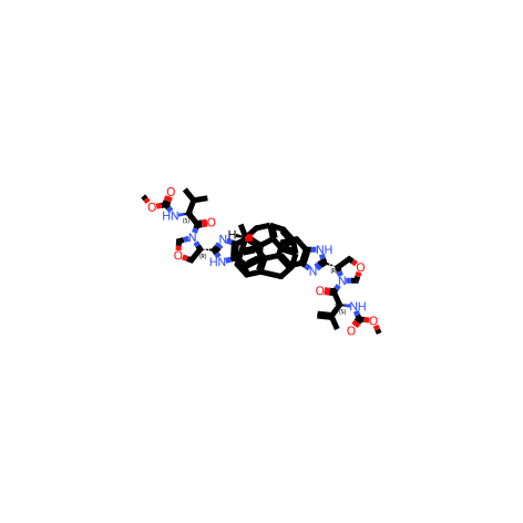 C=C(C)[C@H](NC(=O)OC)C(=O)N1COC[C@H]1c1nc2cc(-c3cc4ccc3CCc3ccc(c(-c5ccc6[nH]c([C@@H]7COCN7C(=O)[C@@H](NC(=O)OC)C(C)C)nc6c5)c3)C[C@H]4C)ccc2[nH]1